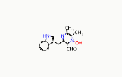 CC1=C(C)N(O)C(C=O)C(Cc2c[nH]c3ccccc23)=N1